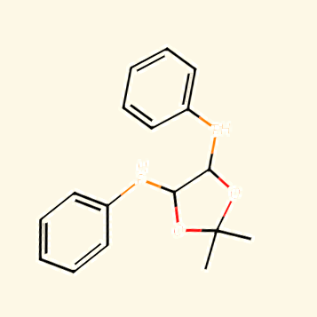 CC1(C)OC(Pc2ccccc2)C(Pc2ccccc2)O1